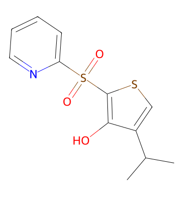 CC(C)c1csc(S(=O)(=O)c2ccccn2)c1O